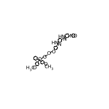 COc1ccc(C(OCCOCCOCCOc2ccc(-c3nc4cc(-c5nc6cc(N7CCOCC7)ccc6[nH]5)ccc4[nH]3)cc2)(c2ccccc2)c2ccc(OC)cc2)cc1